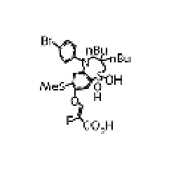 CCCCC1(CCCC)CN(c2ccc(Br)cc2)c2cc(SC)c(O/C=C(\F)C(=O)O)cc2S(O)(O)C1